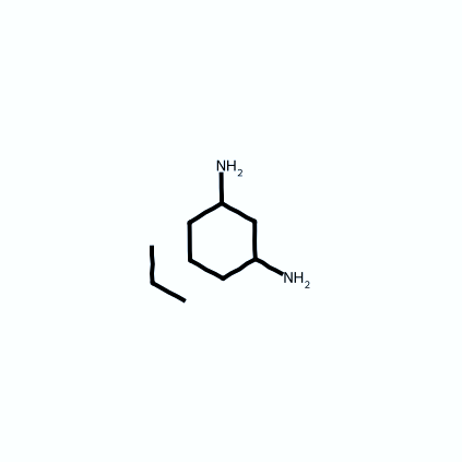 CCC.NC1CCCC(N)C1